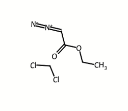 CCOC(=O)C=[N+]=[N-].ClCCl